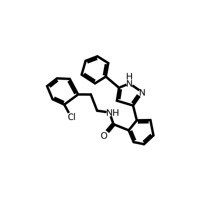 O=C(NCCc1ccccc1Cl)c1ccccc1-c1cc(-c2ccccc2)[nH]n1